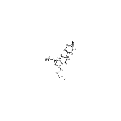 CC(C)Cn1cc(CCN)c2ccc(-c3ccc(F)cc3)cc21